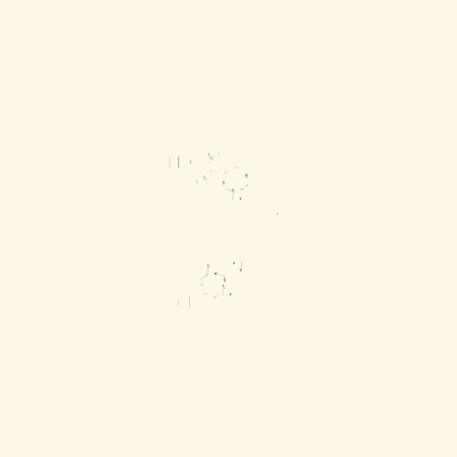 CS(=O)(=O)c1ccc(OCC[C@H]2C[C@@H]2C2CCN(c3ncc(Cl)cn3)CC2)nc1